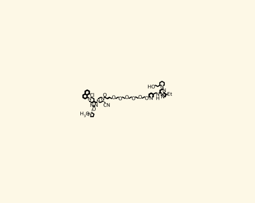 CCc1cnn2c(NCc3ccc(OCCOCCOCCOCCOCCOC/C=C/C(=O)N4CCN(c5nc(OC[C@@H]6CCCN6C)nc6c5CCN(c5cccc7cccc(Cl)c57)C6)C[C@@H]4CC#N)nc3)cc(N3CCCCC3CCO)nc12